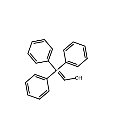 OC=P(c1ccccc1)(c1ccccc1)c1ccccc1